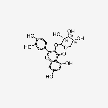 O=c1c(OC2OC[C@@H](O)[C@H](O)[C@H]2O)c(-c2ccc(O)c(O)c2)oc2cc(O)cc(O)c12